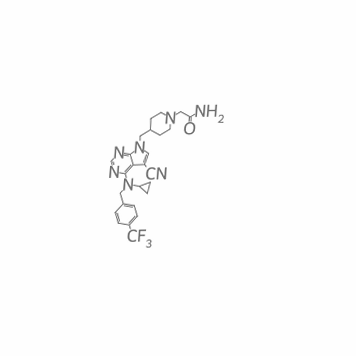 N#Cc1cn(CC2CCN(CC(N)=O)CC2)c2ncnc(N(Cc3ccc(C(F)(F)F)cc3)C3CC3)c12